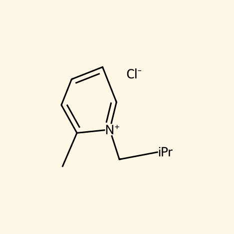 Cc1cccc[n+]1CC(C)C.[Cl-]